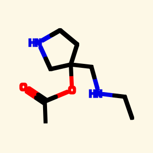 CCNCC1(OC(C)=O)CCNC1